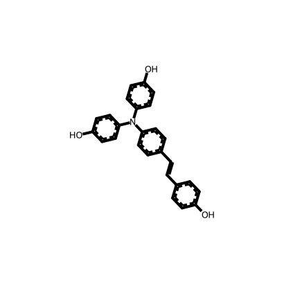 Oc1ccc(C=Cc2ccc(N(c3ccc(O)cc3)c3ccc(O)cc3)cc2)cc1